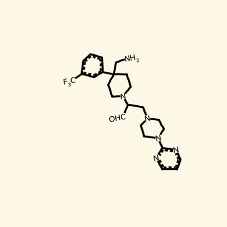 NCC1(c2cccc(C(F)(F)F)c2)CCN(C(C=O)CN2CCN(c3ncccn3)CC2)CC1